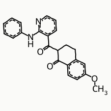 COc1ccc2c(c1)CCC(C(=O)c1cccnc1Nc1ccccc1)C2=O